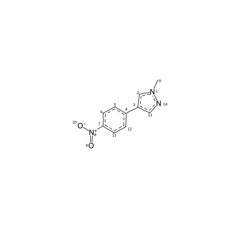 Cn1cc(-c2ccc([N+](=O)[O-])cc2)cn1